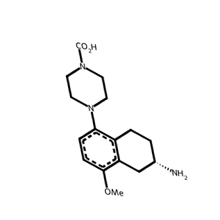 COc1ccc(N2CCN(C(=O)O)CC2)c2c1C[C@@H](N)CC2